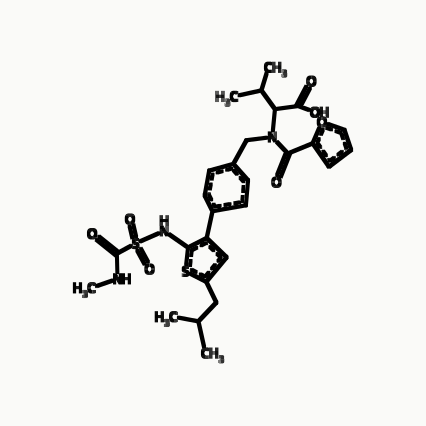 CNC(=O)S(=O)(=O)Nc1sc(CC(C)C)cc1-c1ccc(CN(C(=O)c2ccco2)C(C(=O)O)C(C)C)cc1